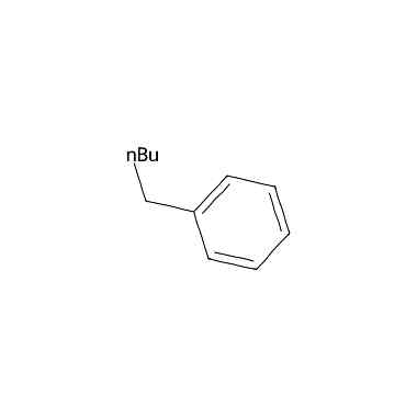 C[CH]CCCc1ccccc1